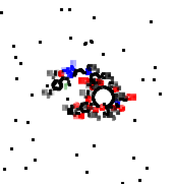 CC[C@H]1OC(=O)[C@H](C)[C@@H](O[C@H]2C[C@@](C)(OC)[C@@H](O)[C@H](C)O2)[C@H](C)[C@@H](O[C@@H]2O[C@H](C)C[C@H](N(C)CCC3=CN([C@H](CF)[C@H](OC)c4ccc(C)cc4)NN3)[C@H]2O)[C@](C)(OC)C[C@@H](C)C(=O)[C@H](C)[C@H]2N(CCO)C(=O)O[C@]12C